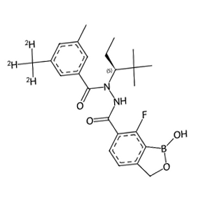 [2H]C([2H])([2H])c1cc(C)cc(C(=O)N(NC(=O)c2ccc3c(c2F)B(O)OC3)[C@@H](CC)C(C)(C)C)c1